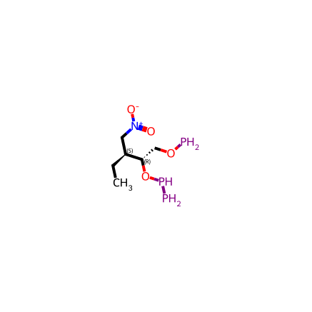 CC[C@@H](C[N+](=O)[O-])[C@H](COP)OPP